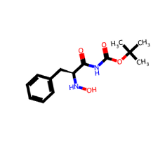 CC(C)(C)OC(=O)NC(=O)[C@H](Cc1ccccc1)NO